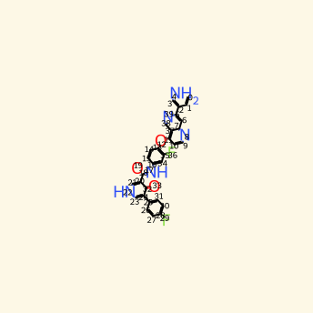 C=C/C(=C\N)c1cc2nccc(Oc3ccc(NC(=O)c4c[nH]cc(-c5ccc(F)cc5)c4=O)cc3F)c2cn1